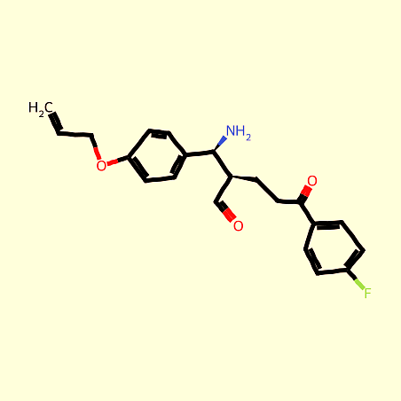 C=CCOc1ccc([C@@H](N)[C@H](C=O)CCC(=O)c2ccc(F)cc2)cc1